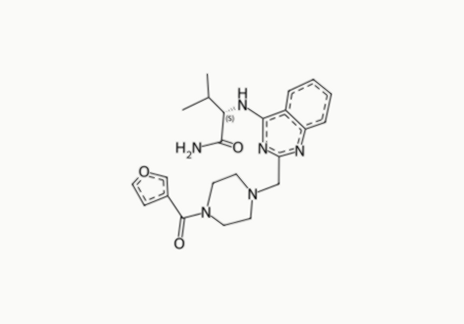 CC(C)[C@H](Nc1nc(CN2CCN(C(=O)c3ccoc3)CC2)nc2ccccc12)C(N)=O